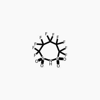 O=S1(=O)NS(=O)(=O)C(F)(F)C(F)(F)C(F)(F)C(F)(F)C1(F)F